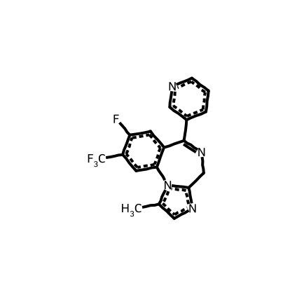 Cc1cnc2n1-c1cc(C(F)(F)F)c(F)cc1C(c1cccnc1)=NC2